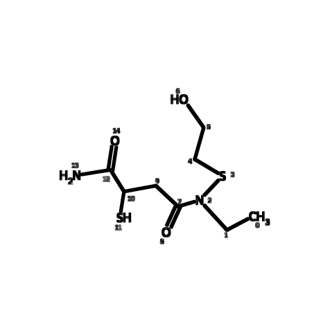 CCN(SCCO)C(=O)CC(S)C(N)=O